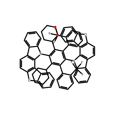 FC(F)(F)c1ccccc1-c1c(C2CCCCC2)c(-n2c3ccccc3c3ccc4oc5ccccc5c4c32)c(C2CCCCC2)c(-c2ccccc2C(F)(F)F)c1-n1c2ccccc2c2ccc3oc4ccccc4c3c21